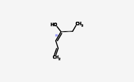 C=C/C=C(/O)CC